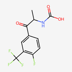 CC(NC(=O)O)C(=O)c1ccc(F)c(C(F)(F)F)c1